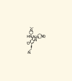 COc1cc2c(NC3CCN(C(C)C)CC3)nc(N3CCCN(OC)CC3)nc2cc1C#CCCN(C)C